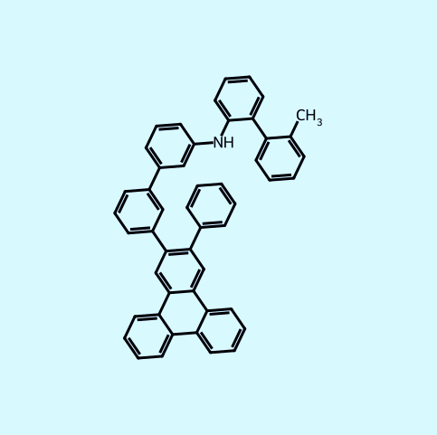 Cc1ccccc1-c1ccccc1Nc1cccc(-c2cccc(-c3cc4c5ccccc5c5ccccc5c4cc3-c3ccccc3)c2)c1